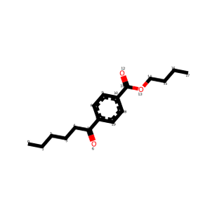 CCCCCC(=O)c1ccc(C(=O)OCCCC)cc1